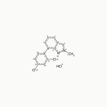 Cl.Cn1cc2cccc(-c3ccc(Cl)cc3Cl)c2n1